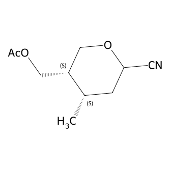 CC(=O)OC[C@@H]1COC(C#N)C[C@@H]1C